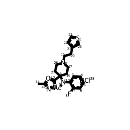 CC(=O)N(c1ccccc1F)C1(c2nnc(C)o2)CCN(CCc2ccsc2)CC1.Cl